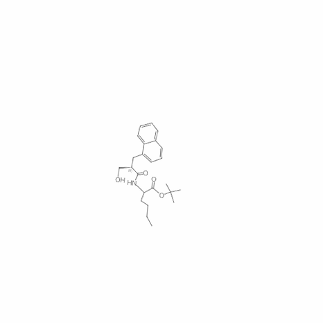 CCCCC(NC(=O)[C@@H](CO)Cc1cccc2ccccc12)C(=O)OC(C)(C)C